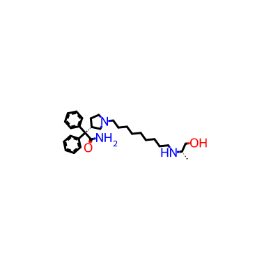 C[C@@H](CO)NCCCCCCCCCN1CC[C@@H](C(C(N)=O)(c2ccccc2)c2ccccc2)C1